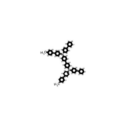 Cc1ccc(C2=CC=C(N(c3ccc(-c4ccccc4)cc3)c3ccc(-c4ccc(N(c5ccc(-c6ccccc6)cc5)c5ccc(-c6ccc(C)cc6)cc5)cc4)cc3)CC2)cc1